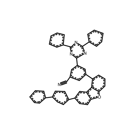 N#Cc1cc(-c2nc(-c3ccccc3)nc(-c3ccccc3)n2)cc(-c2cccc3oc4ccc(-c5ccc(-c6ccccc6)cc5)cc4c23)c1